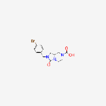 O=C(O)N1CCN2C(=O)N(Cc3ccc(Br)cc3)CC2C1